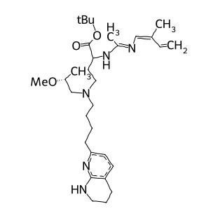 C=C/C(C)=C\N=C(/C)NC(CCN(CCCCc1ccc2c(n1)NCCC2)C[C@@H](C)OC)C(=O)OC(C)(C)C